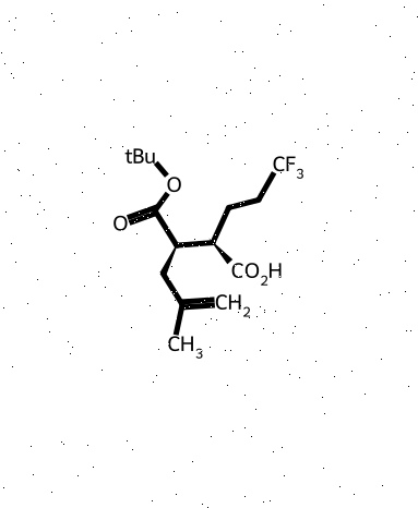 C=C(C)C[C@@H](C(=O)OC(C)(C)C)[C@@H](CCC(F)(F)F)C(=O)O